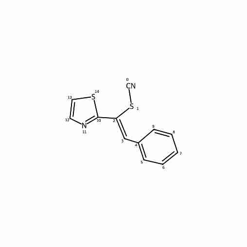 N#CSC(=Cc1ccccc1)c1nccs1